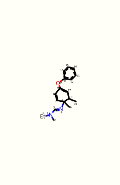 CCN(C)C=NC1(C)C=CC(Oc2ccccc2)=CC1C